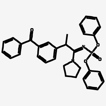 CC(/C(=N/P(=O)(Oc1ccccc1)Oc1ccccc1)N1CCCC1)c1cccc(C(=O)c2ccccc2)c1